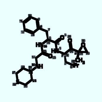 CC(C)C[C@H](NC(=O)[C@H](Cc1ccccc1)NC(=O)CNN1CCSCC1)C(=O)[C@@]1(C)CO1